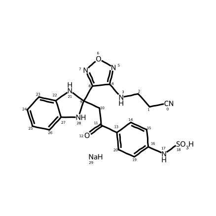 N#CCCNc1nonc1C1(CC(=O)c2ccc(NS(=O)(=O)O)cc2)Nc2ccccc2N1.[NaH]